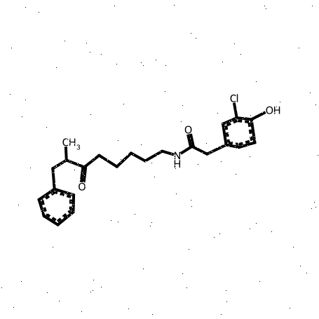 CC(Cc1ccccc1)C(=O)CCCCCNC(=O)Cc1ccc(O)c(Cl)c1